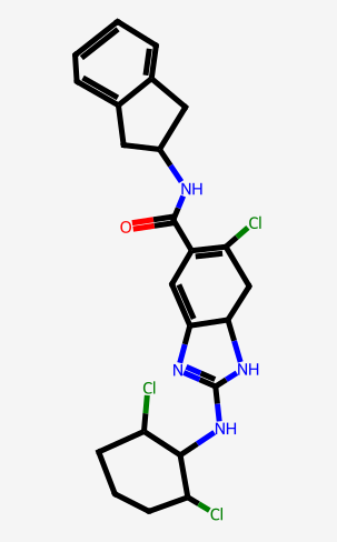 O=C(NC1Cc2ccccc2C1)C1=C(Cl)CC2NC(NC3C(Cl)CCCC3Cl)=NC2=C1